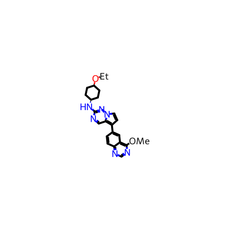 CCO[C@H]1CC[C@H](Nc2ncc3c(-c4ccc5ncnc(OC)c5c4)ccn3n2)CC1